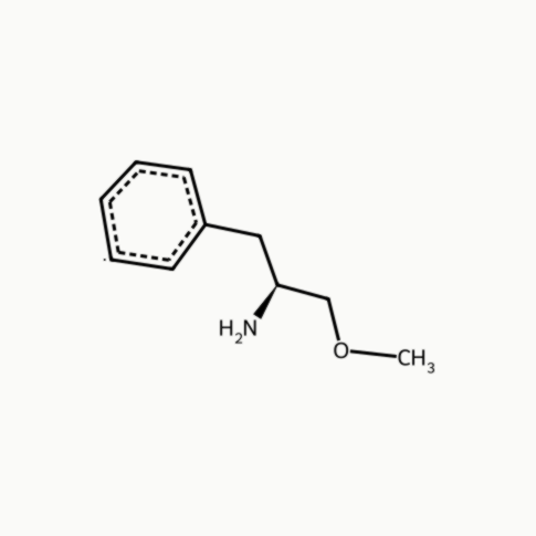 COC[C@@H](N)Cc1c[c]ccc1